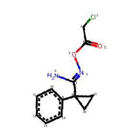 N/C(=N\OC(=O)CCl)C1(c2ccccc2)CC1